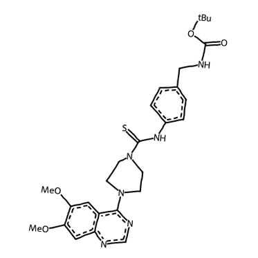 COc1cc2ncnc(N3CCN(C(=S)Nc4ccc(CNC(=O)OC(C)(C)C)cc4)CC3)c2cc1OC